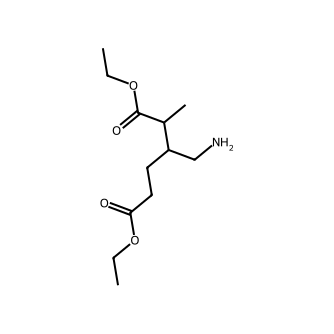 CCOC(=O)CCC(CN)C(C)C(=O)OCC